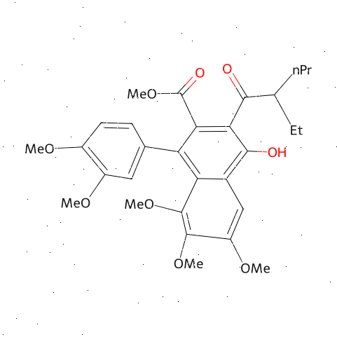 CCCC(CC)C(=O)c1c(C(=O)OC)c(-c2ccc(OC)c(OC)c2)c2c(OC)c(OC)c(OC)cc2c1O